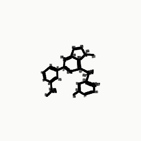 CNc1cccc(-c2nc(Nc3cc(C)ccn3)c3c(ccn3C)n2)c1